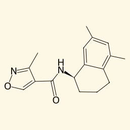 Cc1cc(C)c2c(c1)[C@H](NC(=O)c1conc1C)CCC2